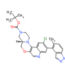 Cc1ccc2[nH]ncc2c1-c1cc2ncc3c(c2cc1Cl)N1CCN(C(=O)OC(C)(C)C)C[C@H]1CO3